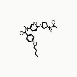 CCCCOc1ccc(C(=O)N(C)c2ccc(N3CCC(N(C)C(C)=O)C3)nc2)cc1